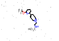 O=C(O)NCCN1CC=C(c2cccc(OC(F)(F)F)n2)CC1